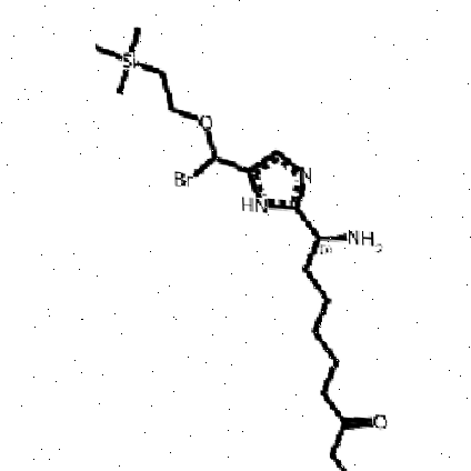 CCC(=O)CCCCC[C@H](N)c1ncc(C(Br)OCC[Si](C)(C)C)[nH]1